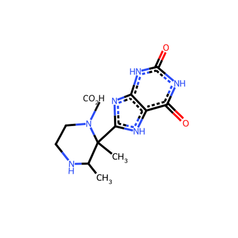 CC1NCCN(C(=O)O)C1(C)c1nc2[nH]c(=O)[nH]c(=O)c2[nH]1